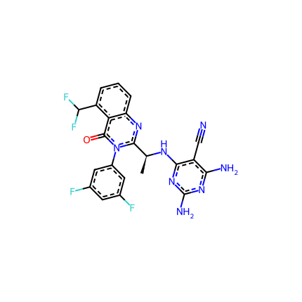 C[C@H](Nc1nc(N)nc(N)c1C#N)c1nc2cccc(C(F)F)c2c(=O)n1-c1cc(F)cc(F)c1